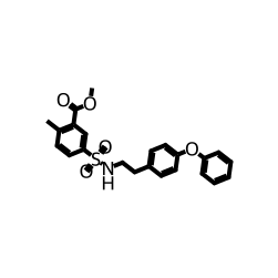 COC(=O)c1cc(S(=O)(=O)NCCc2ccc(Oc3ccccc3)cc2)ccc1C